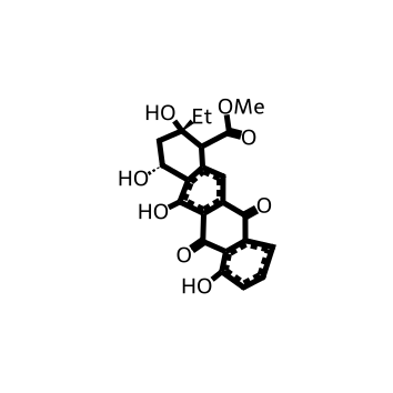 CC[C@]1(O)C[C@@H](O)c2c(cc3c(c2O)C(=O)c2c(O)cccc2C3=O)C1C(=O)OC